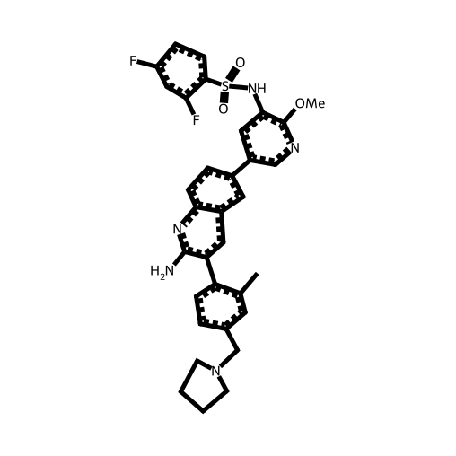 COc1ncc(-c2ccc3nc(N)c(-c4ccc(CN5CCCC5)cc4C)cc3c2)cc1NS(=O)(=O)c1ccc(F)cc1F